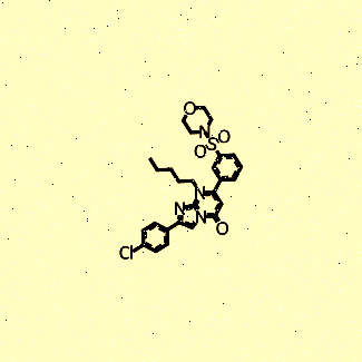 CCCCCn1c(-c2cccc(S(=O)(=O)N3CCOCC3)c2)cc(=O)n2cc(-c3ccc(Cl)cc3)nc12